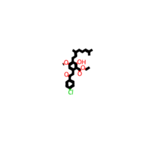 CCOC(=O)c1c(CC(=O)c2ccc(Cl)cc2)cc(OC)c(C/C=C(\C)CCC=C(C)C)c1O